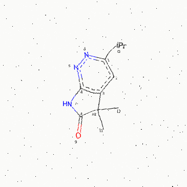 CC(C)c1cc2c(nn1)NC(=O)C2(C)C